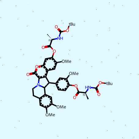 COc1cc2c(cc1OC)C1C(c3ccc(OC(=O)[C@H](C)NC(=O)OC(C)(C)C)c(OC)c3)c3c(c(=O)oc4cc(OC(=O)[C@H](C)NC(=O)OC(C)(C)C)c(OC)cc34)N1CC2